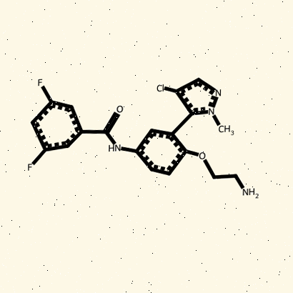 Cn1ncc(Cl)c1-c1cc(NC(=O)c2cc(F)cc(F)c2)ccc1OCCN